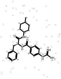 CC1CCC(NC(=O)[C@H](Cc2ccccc2)NC(=O)c2ccc(NC(=N)N)cc2)CC1